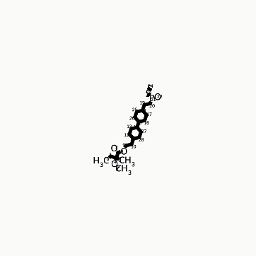 CCC(C)(OC)C(=O)OCCC1CCC(C2CCC(CCP(=O)=S=S)CC2)CC1